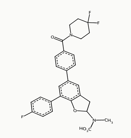 CN(C(=O)O)C1Cc2cc(-c3ccc(C(=O)N4CCC(F)(F)CC4)cc3)cc(-c3ccc(F)cc3)c2O1